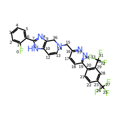 Fc1ccccc1-c1nc2c([nH]1)C=CN(Cc1ccc(-c3ccc(C(F)(F)F)cc3C(F)(F)F)nn1)C2